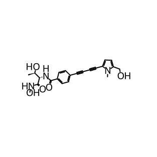 C[C@@H](O)[C@H](NC(=O)c1ccc(C#CC#Cc2ccc(CO)n2C)cc1)C(=O)NO